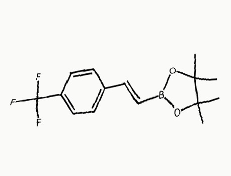 CC1(C)OB(C=Cc2ccc(C(F)(F)F)cc2)OC1(C)C